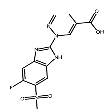 C=NN(/C=C(\C)C(=O)O)c1nc2cc(F)c(S(C)(=O)=O)cc2[nH]1